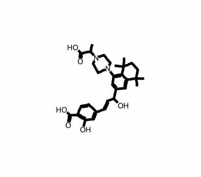 CC(C(=O)O)N1CCN(c2cc(C(O)/C=C/c3ccc(C(=O)O)c(O)c3)cc3c2C(C)(C)CCC3(C)C)CC1